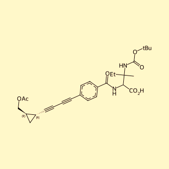 CCC(C)(NC(=O)OC(C)(C)C)C(NC(=O)c1ccc(C#CC#C[C@@H]2C[C@H]2COC(C)=O)cc1)C(=O)O